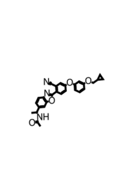 CC(=O)NC(C)c1ccc2nc(-c3ccc(Oc4cccc(OCC5CC5)c4)cc3C#N)oc2c1